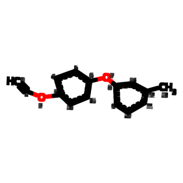 C#COc1ccc(Oc2cccc(C)c2)cc1